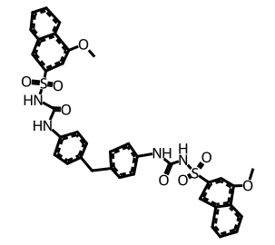 COc1cc(S(=O)(=O)NC(=O)Nc2ccc(Cc3ccc(NC(=O)NS(=O)(=O)c4cc(OC)c5ccccc5c4)cc3)cc2)cc2ccccc12